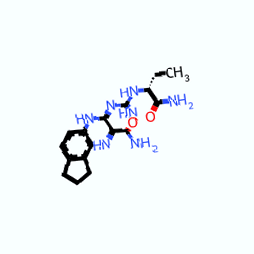 CC[C@@H](NC(=N)/N=C(/Nc1ccc2c(c1)CCC2)C(=N)C(N)=O)C(N)=O